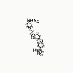 CC(=O)NC1CCN(CCc2coc3cc(Oc4ccc(-c5ccn[nH]5)cn4)ccc23)CC1